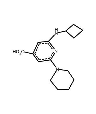 O=C(O)c1cc(NC2CCC2)nc(N2CCCCC2)c1